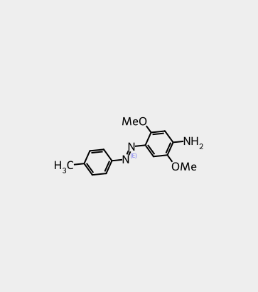 COc1cc(/N=N/c2ccc(C)cc2)c(OC)cc1N